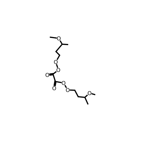 COC(C)CCOOC(=O)C(=O)OOCCC(C)OC